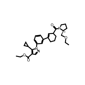 CCOC[C@@H]1CCCN1C(=O)C1C=C(c2cccc(-n3ncc(C(=O)OCC)c3C3CC3)c2)CCC1